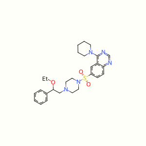 CCOC(CN1CCN(S(=O)(=O)c2ccc3ncnc(N4CCCCC4)c3c2)CC1)c1ccccc1